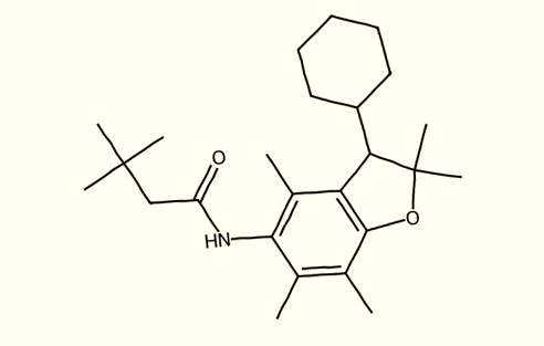 Cc1c(C)c2c(c(C)c1NC(=O)CC(C)(C)C)C(C1CCCCC1)C(C)(C)O2